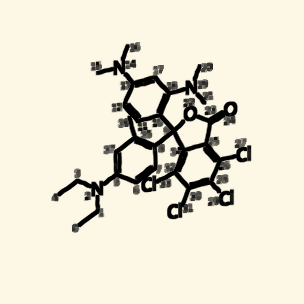 CCN(CC)c1ccc(C2(c3ccc(N(C)C)cc3N(C)C)OC(=O)c3c(Cl)c(Cl)c(Cl)c(Cl)c32)c(C)c1